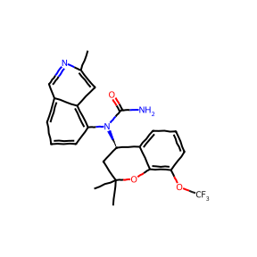 Cc1cc2c(N(C(N)=O)[C@@H]3CC(C)(C)Oc4c(OC(F)(F)F)cccc43)cccc2cn1